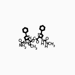 CNC(=O)Nc1cc(-c2ccccc2)sc1C(C)=O.COC(=O)c1sc(-c2ccccc2)cc1NC(N)=O